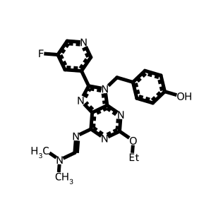 CCOc1nc(N=CN(C)C)c2nc(-c3cncc(F)c3)n(Cc3ccc(O)cc3)c2n1